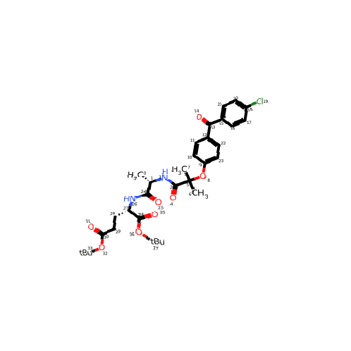 C[C@H](NC(=O)C(C)(C)Oc1ccc(C(=O)c2ccc(Cl)cc2)cc1)C(=O)N[C@@H](CCC(=O)OC(C)(C)C)C(=O)OC(C)(C)C